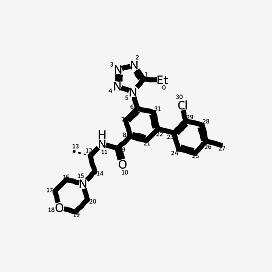 CCc1nnnn1-c1cc(C(=O)N[C@@H](C)CN2CCOCC2)cc(-c2ccc(C)cc2Cl)c1